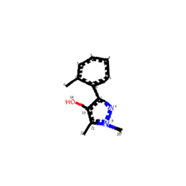 Cc1ccccc1-c1nn(C)c(C)c1O